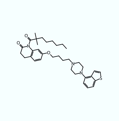 CCCCCCC(C)(C)C(=O)N1C(=O)CCc2ccc(OCCCCN3CCN(c4cccc5sccc45)CC3)cc21